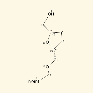 CCCCCCOC[C@H]1CC[C@@H](CO)O1